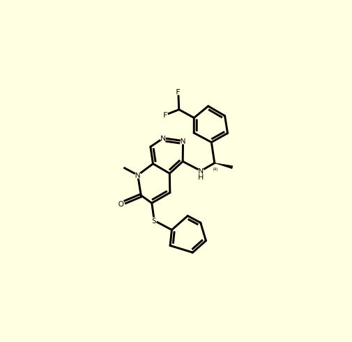 C[C@@H](Nc1nncc2c1cc(Sc1ccccc1)c(=O)n2C)c1cccc(C(F)F)c1